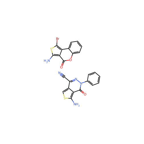 N#Cc1nn(-c2ccccc2)c(=O)c2c(N)scc12.Nc1sc(Br)c2c1c(=O)oc1ccccc12